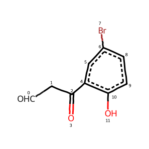 O=CCC(=O)c1cc(Br)ccc1O